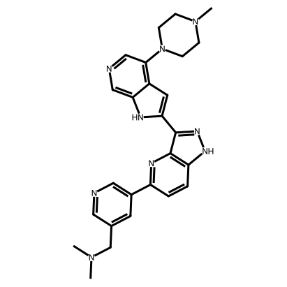 CN(C)Cc1cncc(-c2ccc3[nH]nc(-c4cc5c(N6CCN(C)CC6)cncc5[nH]4)c3n2)c1